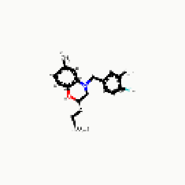 CCOC(=O)CC[C@H]1CN(Cc2ccc(F)c(C(F)(F)F)c2)c2cc(C)ccc2O1